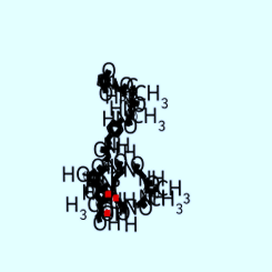 CC[C@H](C)[C@@H]1NC(=O)CNC(=O)[C@@H]2Cc3c([nH]c4ccccc34)SCC(NC(=O)CNC1=O)C(=O)N[C@@H](CCC(=O)NCc1ccc(NC(=O)[C@H](C)NC(=O)C(NC(=O)CCN3C(=O)C=CC3=O)C(C)C)cc1)C(=O)N1C[C@H](O)C[C@H]1C(=O)NC([C@@H](C)[C@@H](O)CO)C(=O)N2